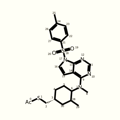 CC(=O)SC[C@@H]1CCC(N(C)c2ncnc3c2ccn3S(=O)(=O)c2ccc(C)cc2)C(C)C1